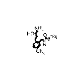 CC(C)(C)OC(=O)NCc1cc(C(F)(F)F)ccc1CC[C@H](O)CN